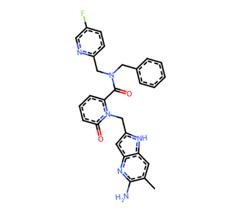 Cc1cc2[nH]c(Cn3c(C(=O)N(Cc4ccccc4)Cc4ccc(F)cn4)cccc3=O)cc2nc1N